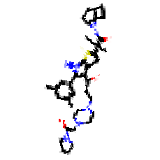 Cc1cc(C)cc(-c2[nH]c3sc(C(C)(C)C(=O)N4C5CCC6CCC654)cc3c2C(=O)CCN2CCN(CC(=O)N3CCCC3)CC2)c1